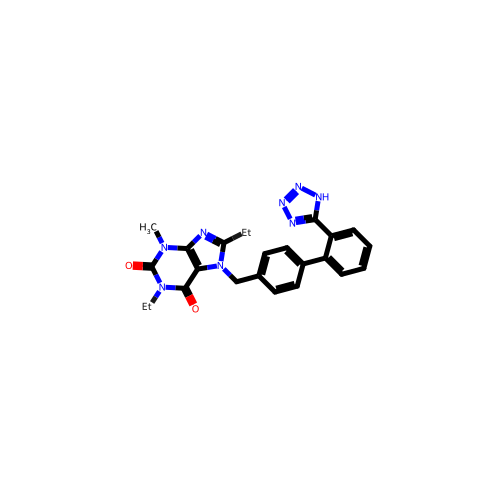 CCc1nc2c(c(=O)n(CC)c(=O)n2C)n1Cc1ccc(-c2ccccc2-c2nnn[nH]2)cc1